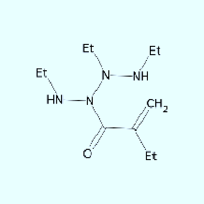 C=C(CC)C(=O)N(NCC)N(CC)NCC